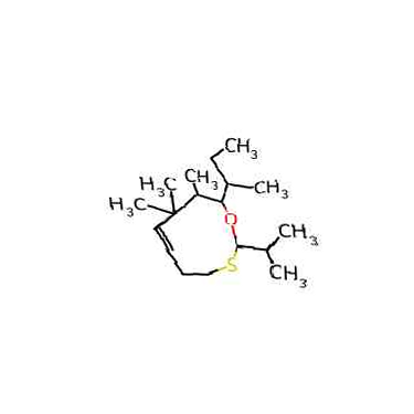 CCC(C)C1OC(C(C)C)SCC/C=C\C(C)(C)C1C